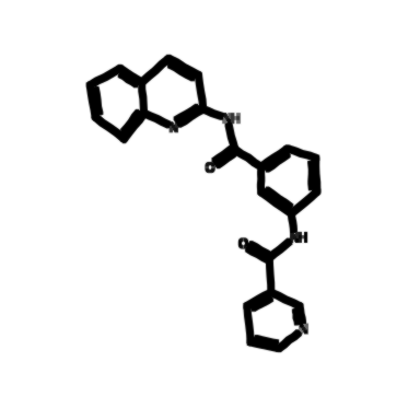 O=C(Nc1cccc(C(=O)Nc2ccc3ccccc3n2)c1)c1cccnc1